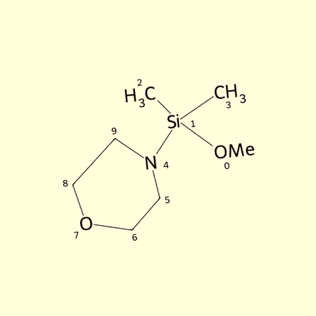 CO[Si](C)(C)N1CCOCC1